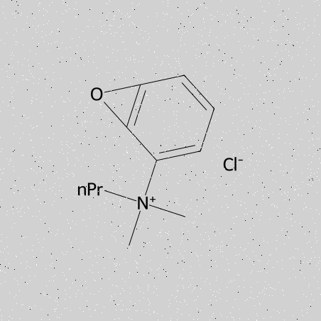 CCC[N+](C)(C)c1cccc2c1O2.[Cl-]